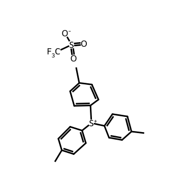 Cc1ccc([S+](c2ccc(C)cc2)c2ccc(C)cc2)cc1.O=S(=O)([O-])C(F)(F)F